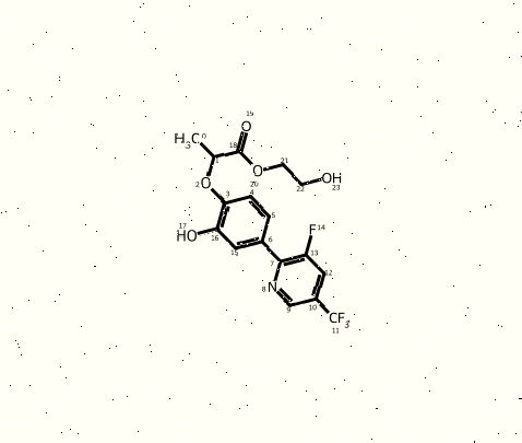 CC(Oc1ccc(-c2ncc(C(F)(F)F)cc2F)cc1O)C(=O)OCCO